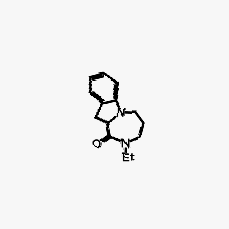 CCN1CCCN2c3ccccc3CC2C1=O